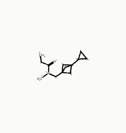 CCC(=O)N(C)CC12CC(C3CC3)(C1)C2